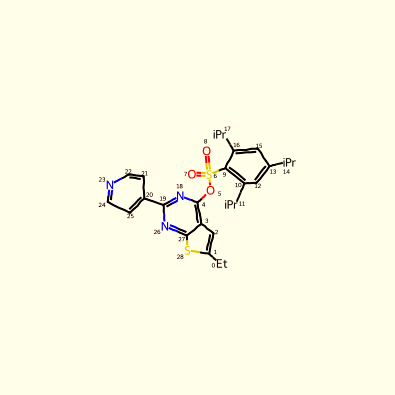 CCc1cc2c(OS(=O)(=O)c3c(C(C)C)cc(C(C)C)cc3C(C)C)nc(-c3ccncc3)nc2s1